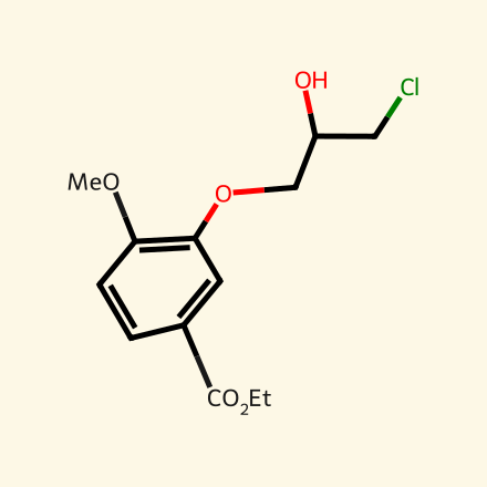 CCOC(=O)c1ccc(OC)c(OCC(O)CCl)c1